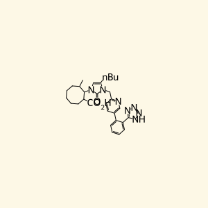 CCCCc1cn(C2C(C)CCCCCC2C(=O)O)c(=O)n1Cc1ccc(-c2ccccc2-c2nnn[nH]2)cn1